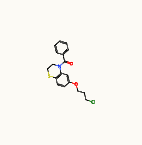 O=C(c1ccccc1)N1CCSc2ccc(OCCCCl)cc21